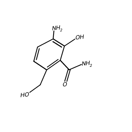 NC(=O)c1c(CO)ccc(N)c1O